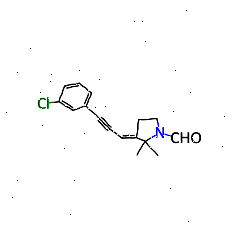 CC1(C)/C(=C/C#Cc2cccc(Cl)c2)CCN1C=O